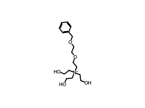 OCC[N+](CCO)(CCO)CCOCCOCc1ccccc1